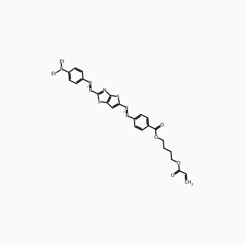 C=CC(=O)OCCCCOC(=O)c1ccc(/N=N/c2cc3sc(/N=N/c4ccc(N(CC)CC)cc4)nc3s2)cc1